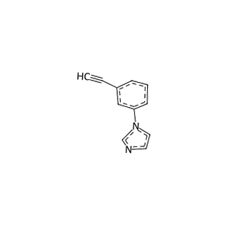 C#Cc1cccc(-n2ccnc2)c1